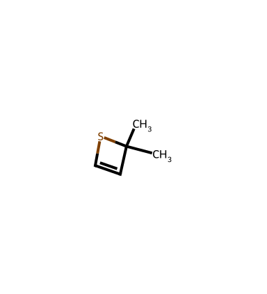 CC1(C)C=CS1